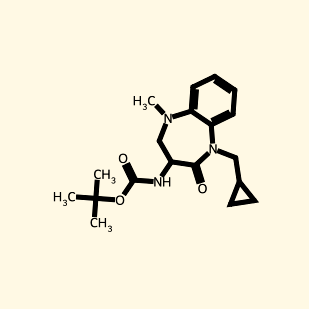 CN1CC(NC(=O)OC(C)(C)C)C(=O)N(CC2CC2)c2ccccc21